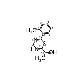 Cc1ccccc1C1=NCNC([C@@H](C)O)S1